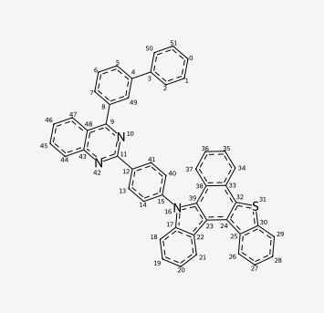 c1ccc(-c2cccc(-c3nc(-c4ccc(-n5c6ccccc6c6c7c8ccccc8sc7c7ccccc7c65)cc4)nc4ccccc34)c2)cc1